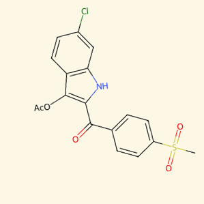 CC(=O)Oc1c(C(=O)c2ccc(S(C)(=O)=O)cc2)[nH]c2cc(Cl)ccc12